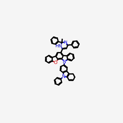 CC1(c2ccccc2)N=C(c2ccccc2)C=C(c2cc3c4ccccc4oc3c3c2c2ccccc2n3-c2ccc3c(c2)c2c(n3-c3ccccc3)C=CCC2)N1